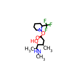 CN[C@@H](C)[C@H](O)[C@H](C)CC(=O)ON1CCCCC1C(F)(F)F